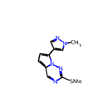 CSc1ncc2ccc(-c3cnn(C)c3)n2n1